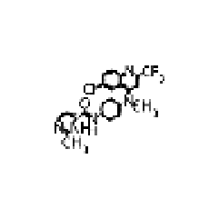 CC1=NCC[C@@H](C(=O)N[C@H]2CC[C@@H](N(C)c3cc(C(F)(F)F)nc4ccc(Cl)cc34)CC2)N1